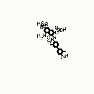 CNc1ccc(-c2ccc(N=Nc3c(OS(=O)O)cc4cc(S(=O)(=O)O)cc(N)c4c3O)c(C)c2)cc1C